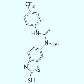 C=C(Nc1ccc(C(F)(F)F)cc1)N(c1ccc2nc(S)sc2c1)C(C)C